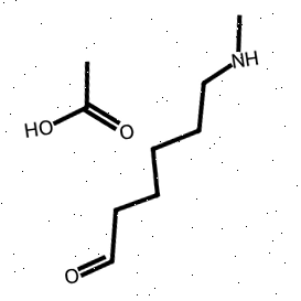 CC(=O)O.CNCCCCCC=O